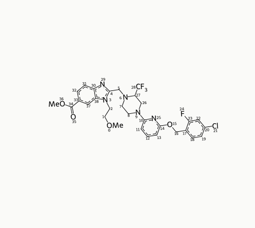 COCCn1c(CN2CCN(c3cccc(OCc4ccc(Cl)cc4F)n3)CC2C(F)(F)F)nc2ccc(C(=O)OC)cc21